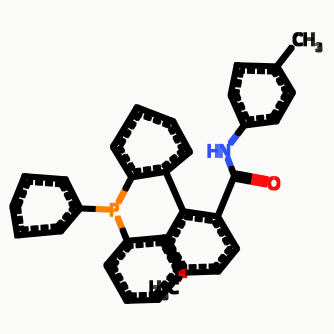 Cc1ccc(NC(=O)c2ccc(C)cc2-c2ccccc2P(c2ccccc2)c2ccccc2)cc1